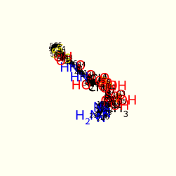 CC(C)(COP(=O)(O)OP(=O)(O)OCC1OC(C)(n2cnc3c(N)ncnc32)C(O)C1OP(=O)(O)O)C(O)C(=O)NCCC(=O)NCCSC(=O)CC1(O)SCCCS1